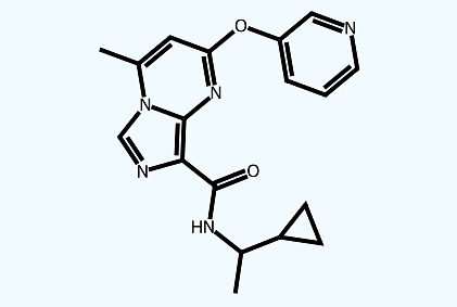 Cc1cc(Oc2cccnc2)nc2c(C(=O)NC(C)C3CC3)ncn12